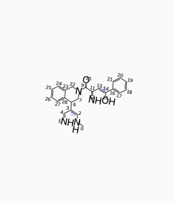 CN/C=C(\C=N)C1CN(C(=O)C(=N)/C=C(\O)c2ccccc2)Cc2ccccc21